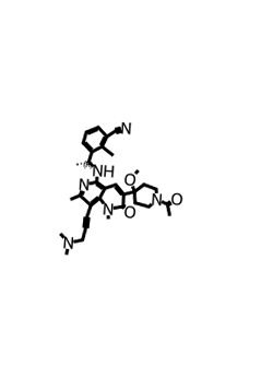 COC1(c2cc3c(N[C@H](C)c4cccc(C#N)c4C)nc(C)c(C#CCN(C)C)c3n(C)c2=O)CCN(C(C)=O)CC1